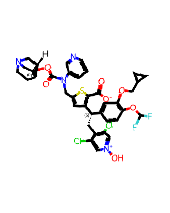 O=C([O-])c1sc(CN(C(=O)O[C@H]2CN3CCC2CC3)c2cccnc2)cc1[C@@H](Cc1c(Cl)c[n+](O)cc1Cl)c1ccc(OC(F)F)c(OCC2CC2)c1